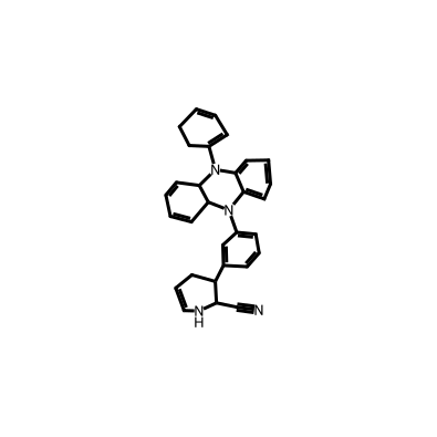 N#CC1NC=CCC1c1cccc(N2c3ccccc3N(C3=CC=CCC3)C3C=CC=CC32)c1